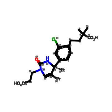 CC[C@@]1(c2ccc(CCC(C)(C)C(=O)O)c(Cl)c2)NC(=O)N(CCC(=O)O)C=C1C(C)C